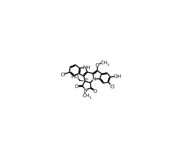 COc1c2n(c3cc(Cl)c(O)cc13)C1C(=O)N(C)C(=O)[C@]1(CO)c1c-2[nH]c2ccc(Cl)cc12